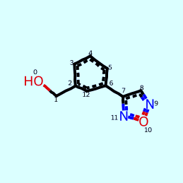 OCc1cccc(-c2cnon2)c1